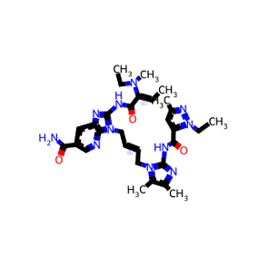 C/C=C(/C(=O)Nc1nc2cc(C(N)=O)cnc2n1C/C=C/Cn1c(NC(=O)c2cc(C)nn2CC)nc(C)c1C)N(C)CC